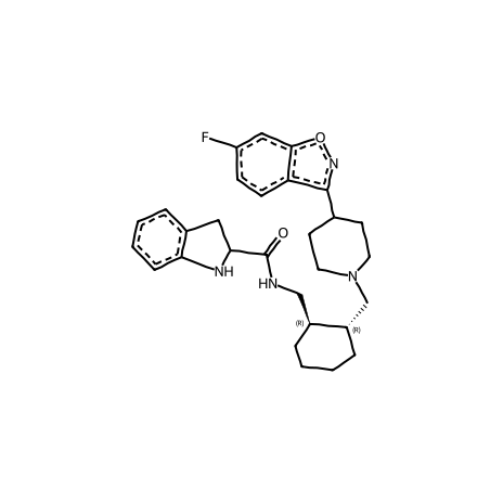 O=C(NC[C@@H]1CCCC[C@H]1CN1CCC(c2noc3cc(F)ccc23)CC1)C1Cc2ccccc2N1